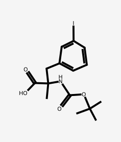 CC(C)(C)OC(=O)NC(C)(Cc1cccc(I)c1)C(=O)O